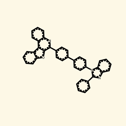 c1ccc(-c2nc3ccccc3n2-c2ccc(-c3ccc(-c4nc5ccccc5c5c4oc4ccccc45)cc3)cc2)cc1